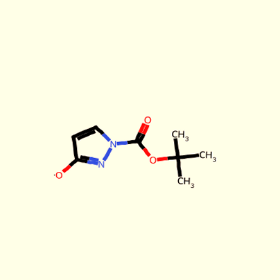 CC(C)(C)OC(=O)n1ccc([O])n1